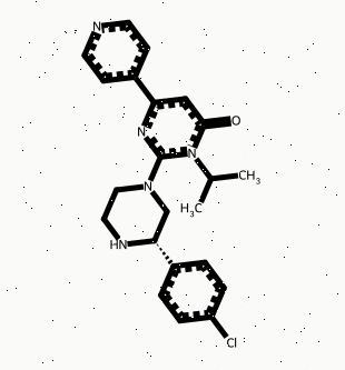 CC(C)n1c(N2CCN[C@@H](c3ccc(Cl)cc3)C2)nc(-c2ccncc2)cc1=O